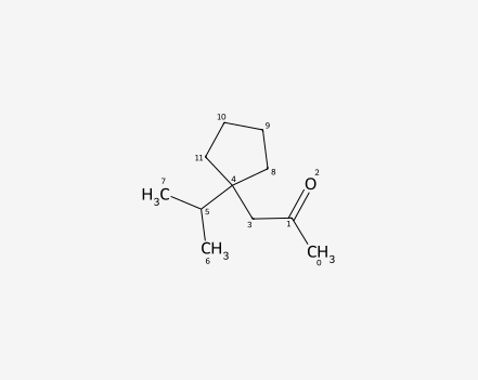 CC(=O)CC1(C(C)C)CCCC1